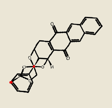 C[C@@H]1OC[C@H](C2C3CC4=C(C(=O)c5cc6ccccc6cc5C4=O)[C@@H]2OB(c2ccccc2)O3)O1